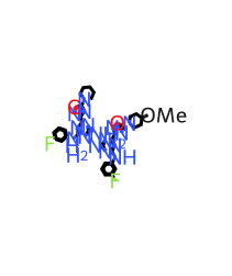 COC1CCN(c2nc(-c3nc(N)nc(Nc4cccc(F)c4)n3)no2)CC1.Nc1nc(Nc2cccc(F)c2)nc(-c2noc(N3CCCCC3)n2)n1